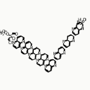 O.O.O.O.O=CS(=O)(=O)C=O.c1cnc2cccnc2c1.c1cnc2cccnc2c1.c1cnc2cccnc2c1.c1cnc2cccnc2c1.c1cnc2cccnc2c1.c1cnc2cccnc2c1.c1cnc2cccnc2c1.c1cnc2cccnc2c1